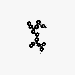 Fc1ccc(-n2c3ccccc3c3cc(N(c4ccc(-c5cccc(-c6cccc(N(c7ccc8ccccc8c7)c7ccc8c(c7)c7ccccc7n8-c7ccc(F)cc7)c6)c5)cc4)c4ccc5ccccc5c4)ccc32)cc1